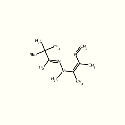 C=N/C(C)=C(/C)N(C)/N=C(\S)C(C)(C)CCCC